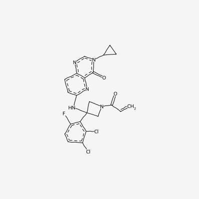 C=CC(=O)N1CC(Nc2ccc3ncn(C4CC4)c(=O)c3n2)(c2c(F)ccc(Cl)c2Cl)C1